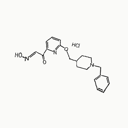 Cl.O=C(C=NO)c1cccc(OCC2CCN(Cc3ccccc3)CC2)n1